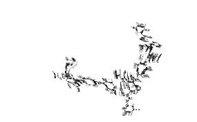 C[C@H](NC(=O)[C@@H](CCc1ccccc1)NCc1ccc(N2CCN(C(=O)OC(C)(C)C)CC2)cc1)C(=O)NCc1ccc(C(=N)NC(=O)OCc2ccccc2)cc1